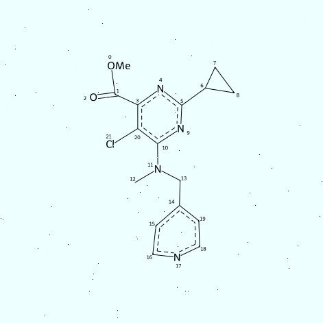 COC(=O)c1nc(C2CC2)nc(N(C)Cc2ccncc2)c1Cl